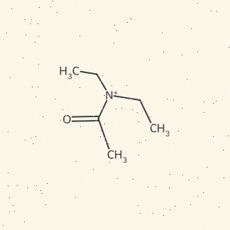 CC[N+](CC)C(C)=O